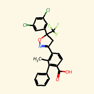 Cc1c(C2=NOC(c3cc(Cl)cc(Cl)c3)(C(F)(F)F)C2)ccc(C(=O)O)c1-c1ccccc1